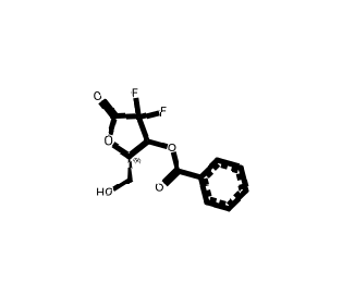 O=C(OC1[C@@H](CO)OC(=O)C1(F)F)c1ccccc1